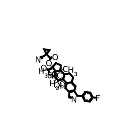 CC12CC3=C(C=C1CCC1[C@]2(C)C(O)CC2(C)C(OC(=O)C4(C#N)CC4)(C(=O)S)CC[C@@]12C)C(c1ccc(F)cc1)N=C3